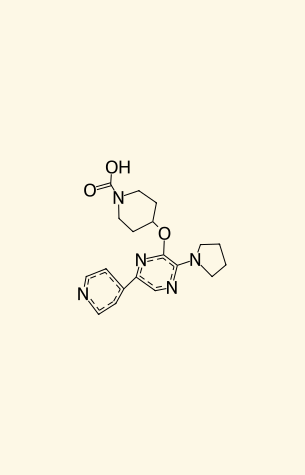 O=C(O)N1CCC(Oc2nc(-c3ccncc3)cnc2N2CCCC2)CC1